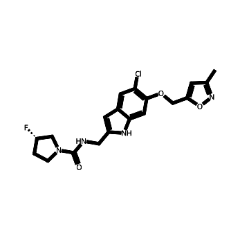 Cc1cc(COc2cc3[nH]c(CNC(=O)N4CC[C@H](F)C4)cc3cc2Cl)on1